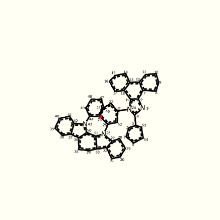 c1ccc(-c2nc3c4ccccc4c4ccccc4c3n2-c2cccc(-n3c4ccccc4c4ccc5c6ccccc6n(-c6ccccc6)c5c43)c2)cc1